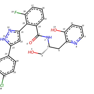 O=C(N[C@@H](CO)Cc1ncccc1O)c1cccc(F)c1-c1cc(-c2ccc(Cl)cc2)[nH]n1